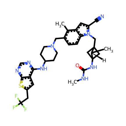 CNC(=O)NC12CC(Cn3c(C#N)cc4c(C)c(CN5CCC(Nc6ncnc7sc(CC(F)(F)F)cc67)CC5)ccc43)(C1)[C@@H]2C